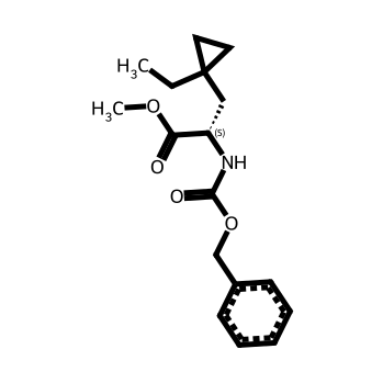 CCC1(C[C@H](NC(=O)OCc2ccccc2)C(=O)OC)CC1